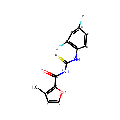 Cc1ccoc1C(=O)NC(=S)Nc1ccc(F)cc1F